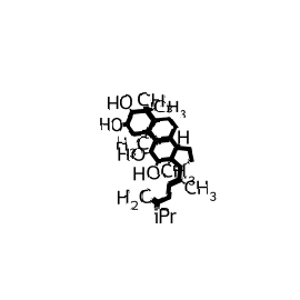 C=C(CC[C@@H](C)[C@H]1CC[C@H]2C3=C([C@@H](O)[C@H](O)[C@]12C)[C@@]1(C)CC(O)[C@H](O)C(C)(C)C1CC3)C(C)C